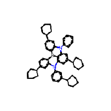 c1ccc(N2c3cc(C4CCCCC4)ccc3B3c4ccc(C5CCCCC5)cc4N(c4cccc(C5CCCCC5)c4)c4cc(C5CCCCC5)cc2c43)cc1